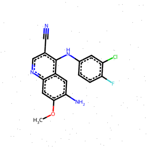 COc1cc2ncc(C#N)c(Nc3ccc(F)c(Cl)c3)c2cc1N